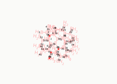 BBB(B(B)B)B(B(B)B)B(B(B(B(B)B)B(B)B)B(B(B)B)B(B)B)B(B(B(B(B)B)B(B)B)B(B(B)B)B(B)B)B(B(B(B)B)B(B)B)B(B(B)B)B(B)B